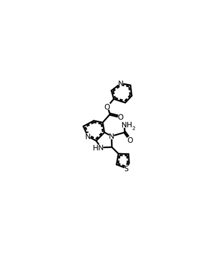 NC(=O)N1c2c(C(=O)Oc3cccnc3)ccnc2NC1c1ccsc1